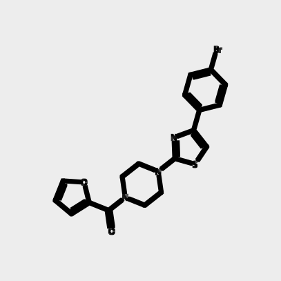 O=C(c1ccco1)N1CCN(c2nc(-c3ccc(Br)cc3)cs2)CC1